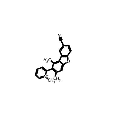 Cc1cc2oc3ccc(C#N)cc3c2c(C)c1-c1cccc[n+]1C